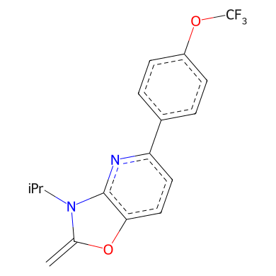 C=C1Oc2ccc(-c3ccc(OC(F)(F)F)cc3)nc2N1C(C)C